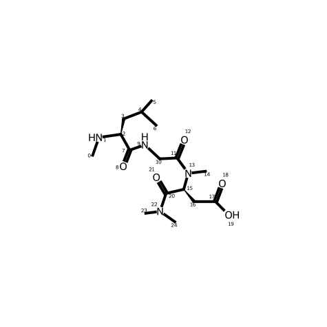 CN[C@@H](CC(C)C)C(=O)NCC(=O)N(C)[C@@H](CC(=O)O)C(=O)N(C)C